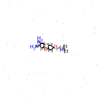 CCN(CC)CCCOc1ccc(Oc2ccc(N)c(N)c2)cc1